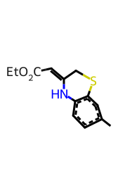 CCOC(=O)/C=C1/CSc2cc(C)ccc2N1